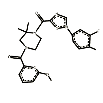 COc1cccc(C(=O)N2CCN(C(=O)c3ncn(-c4ccc(C)c(F)c4)n3)C(C)(C)C2)n1